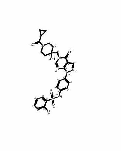 O=C(C1CC1)N1CCC(O)(Cn2cnc3c(cnn3-c3ccc(NS(=O)(=O)c4ccccc4Cl)cc3)c2=O)CC1